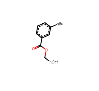 CCCCCCCCCOC(=O)c1cccc(CCCC)c1